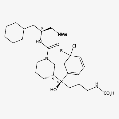 CNC[C@H](CC1CCCCC1)NC(=O)N1CCC[C@@H]([C@@](O)(CCCNC(=O)O)C2=CC=CC(F)(Cl)C2)C1